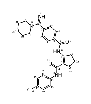 N=C(c1ccc(C(=O)NC2=C(C(=O)Nc3ccc(Cl)cn3)SCC2)cc1)N1CCOCC1